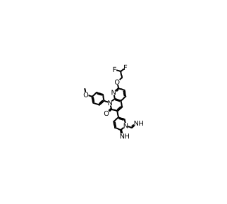 COc1ccc(-n2c(=O)c(-c3ccc(=N)n(C=N)c3)cc3ccc(OCC(F)F)nc32)cc1